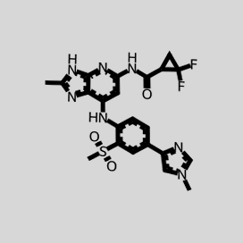 Cc1nc2c(Nc3ccc(-c4cn(C)cn4)cc3S(C)(=O)=O)cc(NC(=O)C3CC3(F)F)nc2[nH]1